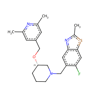 Cc1cc(CO[C@H]2CCCN(Cc3cc4nc(C)sc4cc3F)C2)cc(C)n1